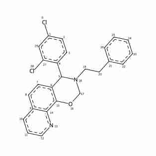 Clc1ccc(C2c3ccc4cccnc4c3OCN2CCc2ccccc2)c(Cl)c1